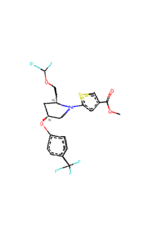 COC(=O)c1csc(N2C[C@@H](Oc3ccc(C(F)(F)F)cc3)C[C@H]2COC(F)F)c1